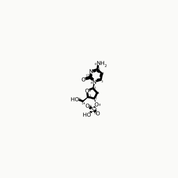 Nc1ccn([C@H]2C[C@H](OS(=O)(=O)O)[C@@H](CO)O2)c(=O)n1